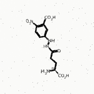 N[C@@H](CCC(=O)NNc1ccc([N+](=O)[O-])c(C(=O)O)c1)C(=O)O